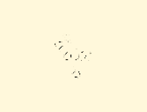 Cc1c(Oc2ccc(-c3c4c(F)c(F)c(F)c(C)c4nn3Cc3ccccc3)cc2)cccc1C1OCCO1